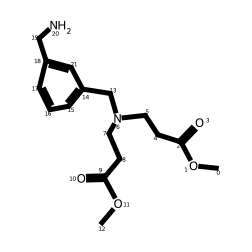 COC(=O)CCN(CCC(=O)OC)Cc1cccc(CN)c1